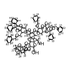 CC(=N)O[C@H]1OC(CO)[C@H](OC(C)=O)C(O[C@@H]2OC(C)[C@H](C)[C@@H]3OC(C)(C)OC23)[C@H]1O[C@@H]1OC(C)[C@H](O[C@@H]2OC[C@@H](C)C(O[C@@H]3OC[C@@]4(COCc5ccccc5)O[C@@H](c5ccccc5)OC34)[C@H]2OCc2ccccc2)C(O[C@@H]2OC(COCc3ccccc3)[C@@H](OCc3ccccc3)C(OCc3ccccc3)[C@H]2C)[C@@H]1C